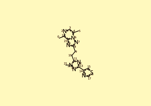 Cc1ncc(C)n2nc(CCc3nc(-c4cscn4)nn3C)nc12